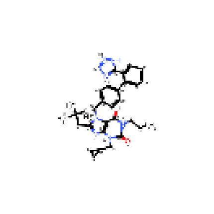 CCCn1c(=O)c2c(nc(CC(C)(C)C)n2Cc2ccc(-c3ccccc3-c3nnn[nH]3)cc2)n(CC2CC2)c1=O